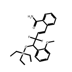 CC[Si](CC)(CC)OC(c1ccccc1OC)C(F)(F)C=Cc1ccccc1C(N)=O